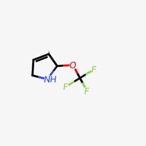 FC(F)(F)OC1[C]=CCN1